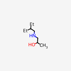 CC[C](CC)CNCC(C)O